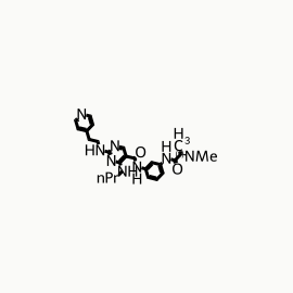 CCCNc1nc(NCCc2ccncc2)ncc1C(=O)Nc1cccc(NC(=O)[C@H](C)NC)c1